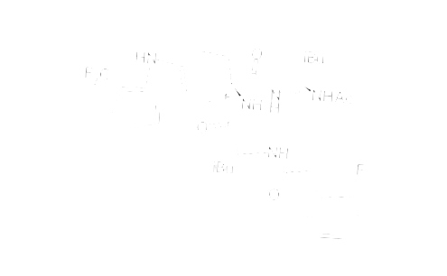 CCC(C)C(NC(=O)Cc1ccccc1F)C(=O)N[C@]1(C(=O)N[C@H](NC(C)=O)[C@@H](C)CC)CCc2[nH]c3c(C(F)(F)F)cccc3c2C1